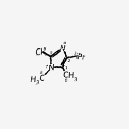 Cc1c(C(C)C)nc(Cl)n1C